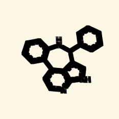 c1ccc(C2Nc3ccccc3-c3ccnc4[nH]cc2c34)cc1